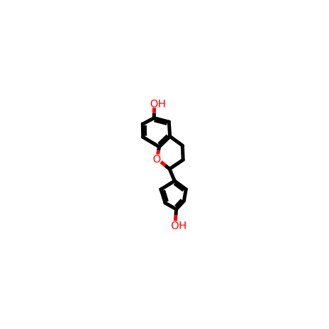 Oc1ccc(C2CCc3cc(O)ccc3O2)cc1